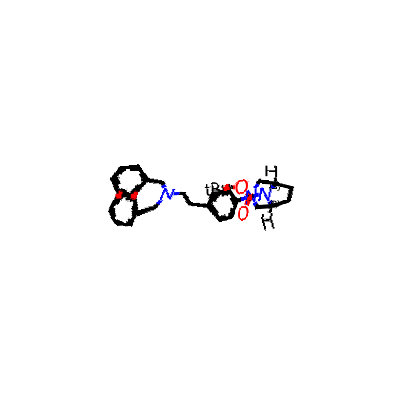 CC(C)(C)OC(=O)N1[C@@H]2CC[C@H]1CN(c1ccc(CCN(Cc3ccccc3)Cc3ccccc3)cc1)C2